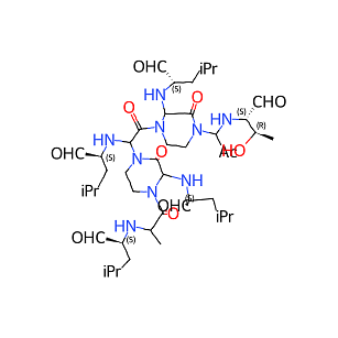 CC(=O)C(N[C@H](C=O)[C@@H](C)O)N1CCN(C(=O)C(N[C@H](C=O)CC(C)C)N2CCN(C(=O)C(C)N[C@H](C=O)CC(C)C)C(N[C@H](C=O)CC(C)C)C2=O)C(N[C@H](C=O)CC(C)C)C1=O